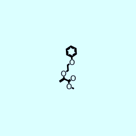 C=C(OCCOc1ccccc1)C(=O)OC